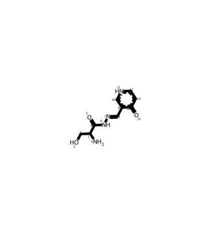 NC(CO)C(=O)NN=Cc1c[nH]ccc1=O